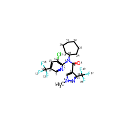 Cn1cc(C(=O)N(c2ncc(C(F)(F)F)cc2Cl)C2CCCCCC2)c(C(F)(F)F)n1